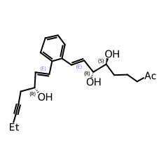 CCC#CC[C@@H](O)/C=C/c1ccccc1/C=C/[C@@H](O)[C@@H](O)CCCC(C)=O